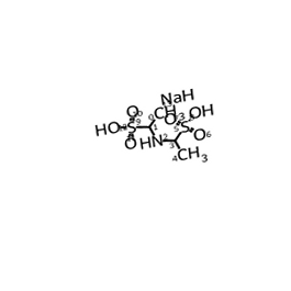 CC(NC(C)S(=O)(=O)O)S(=O)(=O)O.[NaH]